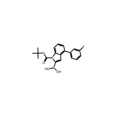 CC(C)(C)OC(=O)n1c(B(O)O)cc2c(-c3cccc(F)c3)cccc21